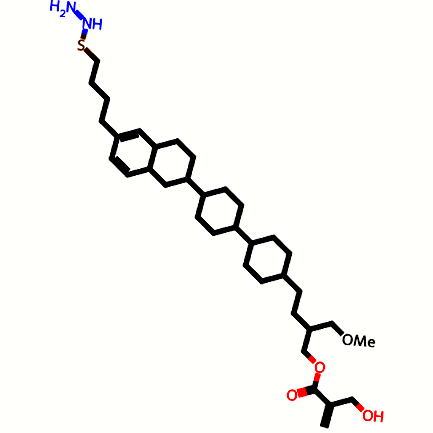 C=C(CO)C(=O)OCC(CCC1CCC(C2CCC(C3CCC4C=C(CCCCSNN)C=CC4C3)CC2)CC1)COC